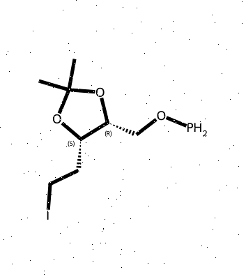 CC1(C)O[C@@H](CCI)[C@@H](COP)O1